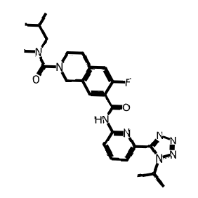 CC(C)CN(C)C(=O)N1CCc2cc(F)c(C(=O)Nc3cccc(-c4nnnn4C(C)C)n3)cc2C1